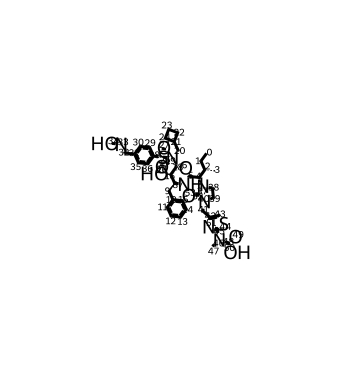 CC[C@H](C)[C@@H](C(=O)N[C@@H](Cc1ccccc1)[C@H](O)CN(CC1CCC1)S(=O)(=O)c1ccc(/C=N/O)cc1)N1CCN(Cc2csc(N(C)C(=O)O)n2)C1=O